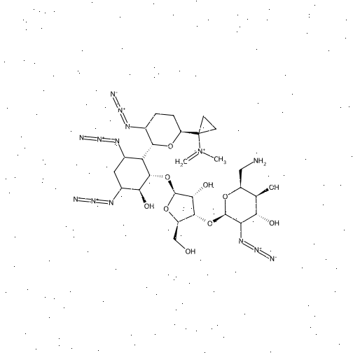 C=[N+](C)C1([C@@H]2CCC(N=[N+]=[N-])[C@@H](C3C(N=[N+]=[N-])CC(N=[N+]=[N-])[C@H](O)[C@H]3O[C@@H]3O[C@H](CO)[C@@H](O[C@H]4O[C@@H](CN)[C@@H](O)[C@H](O)C4N=[N+]=[N-])[C@H]3O)O2)CC1